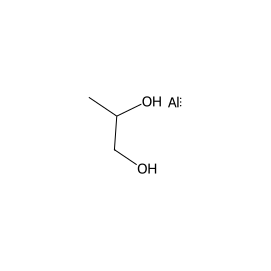 CC(O)CO.[Al]